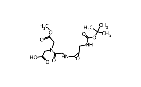 COC(=O)CN(CC(=O)O)C(=O)CNC1OC1CNC(=O)OC(C)(C)C